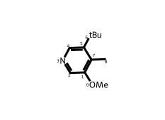 COc1cncc(C(C)(C)C)c1C